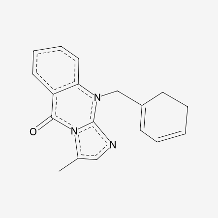 Cc1cnc2n(CC3=CC=CCC3)c3ccccc3c(=O)n12